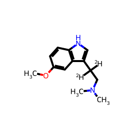 [2H]C([2H])(CN(C)C)c1c[nH]c2ccc(OC)cc12